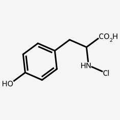 O=C(O)C(Cc1ccc(O)cc1)NCl